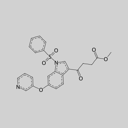 COC(=O)CCC(=O)c1cn(S(=O)(=O)c2ccccc2)c2cc(Oc3cccnc3)ccc12